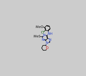 COc1cccc(Nc2nc(SC)nc3c2ncn3C2CCCCO2)c1Cl